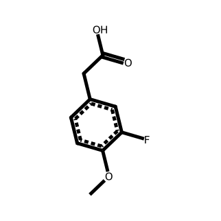 COc1ccc(CC(=O)O)cc1F